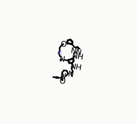 CC#CC(=O)N1CCCC(N(C)CCNc2cc3cc(c2)Nc2nccc(n2)-c2cccc(c2)OCC/C=C/CN(C)C3)C1